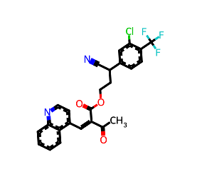 CC(=O)/C(=C/c1ccnc2ccccc12)C(=O)OCCC(C#N)c1ccc(C(F)(F)F)c(Cl)c1